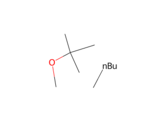 CCCCC.COC(C)(C)C